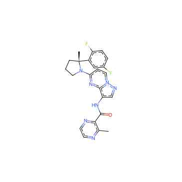 Cc1nccnc1C(=O)Nc1cnn2ccc(N3CCC[C@]3(C)c3cc(F)ccc3F)nc12